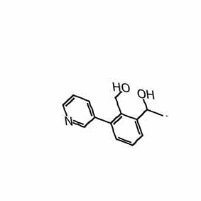 [CH2]C(O)c1cccc(-c2cccnc2)c1CO